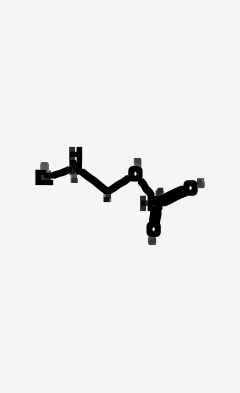 CCNCO[SH](=O)=O